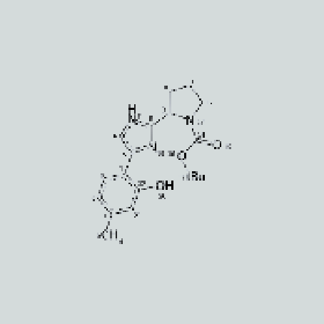 Cc1ccc(-c2c[nH]c(C3CCCN3C(=O)OC(C)(C)C)n2)c(O)c1